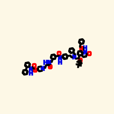 CC(C)(C)[Si](C)(C)OC(CN(CCc1ccc(NC(=O)c2cccc(CNC(=O)CCN3CCC(OC(=O)Nc4ccccc4-c4ccccc4)CC3)c2)cc1)Cc1ccccc1)c1ccc(OCc2ccccc2)c2[nH]c(=O)ccc12